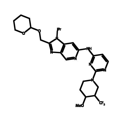 COC1CCN(c2nccc(Nc3cc4c(cn3)nc(COC3CCCCO3)n4C(C)C)n2)CC1C(F)(F)F